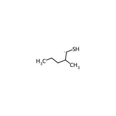 CCCC(C)[CH]S